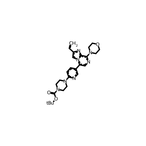 C=Cc1cn2c(-c3ccc(N4CCN(C(=O)OC(C)(C)C)CC4)nc3)cnc(N3CCOCC3)c2n1